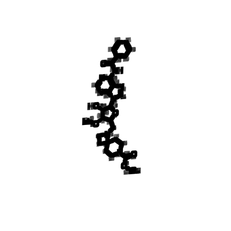 CCO[C@@H]1C(CN2CCC23CCN(C(=O)OC(C)(C)C)CC3)OC(n2cnc3c(NC(=O)c4ccccc4)ncnc32)[C@@H]1O